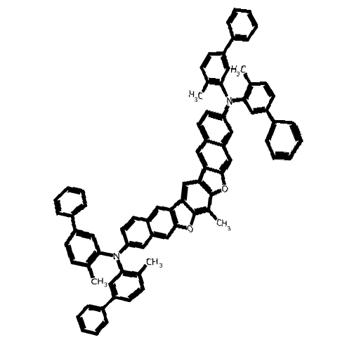 Cc1ccc(-c2ccccc2)cc1N(c1ccc2cc3c(cc2c1)oc1c(C)c2oc4cc5cc(N(c6cc(-c7ccccc7)ccc6C)c6cc(-c7ccccc7)ccc6C)ccc5cc4c2cc13)c1cc(-c2ccccc2)ccc1C